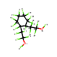 FOC(F)(F)C(F)(F)C1(F)C(F)(F)C(F)(F)C(F)(F)C(F)(F)C1(F)C(F)(F)C(F)(F)OF